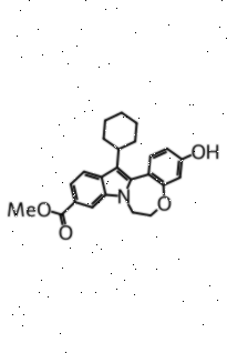 COC(=O)c1ccc2c(C3CCCCC3)c3n(c2c1)CCOc1cc(O)ccc1-3